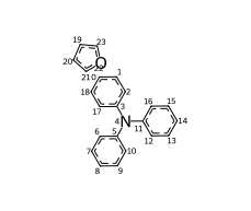 c1ccc(N(c2ccccc2)c2ccccc2)cc1.c1ccoc1